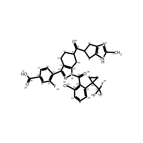 Cc1nc2c([nH]1)CC(C(=O)C1CCc3c(-c4ccc(C(=O)O)cc4F)nn(C(=O)c4c(Cl)cccc4C4(C(F)(F)F)CC4)c3C1)C2